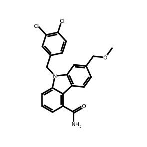 COCc1c[c]c2c3c(C(N)=O)cccc3n(Cc3ccc(Cl)c(Cl)c3)c2c1